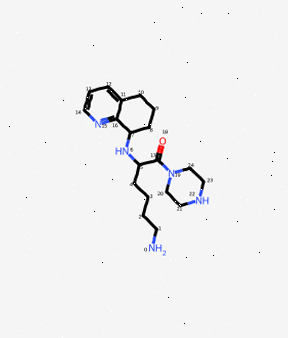 NCCCCC(NC1CCCc2cccnc21)C(=O)N1CCNCC1